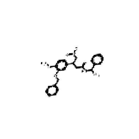 COc1ccc(C(CC(=O)NC(C)c2ccccc2)C[N+](=O)[O-])cc1OCc1ccccc1